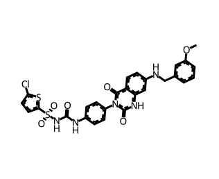 COc1cccc(CNc2ccc3c(=O)n(-c4ccc(NC(=O)NS(=O)(=O)c5ccc(Cl)s5)cc4)c(=O)[nH]c3c2)c1